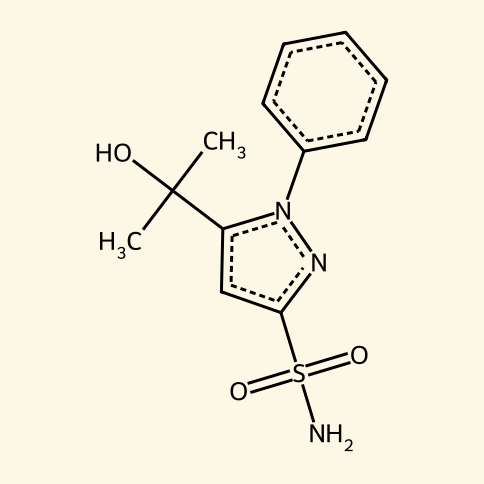 CC(C)(O)c1cc(S(N)(=O)=O)nn1-c1ccccc1